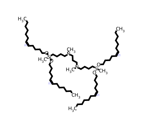 CCCCCC/C=C\CCCCO[Si](C)(CCCCN(C)CCCN(C)CCCC[Si](C)(OCCCC/C=C\CCCCCC)OCCCC/C=C\CCCCCC)OCCCC/C=C\CCCCCC